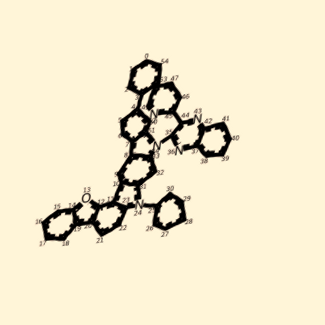 c1ccc(-c2ccc3c4cc5c6c7oc8ccccc8c7ccc6n(-c6ccccc6)c5cc4n(-c4nc5ccccc5nc4-c4ccccn4)c3c2)cc1